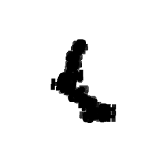 CCC(C)(CCOC(C)(CC)Cc1cn(C[C@H]2O[C@H](OC)CC(O)[C@@H]2O)nn1)NS(=O)(=O)/C(C#N)=C/c1ccc2cc(N3CCOCC3)ccc2c1